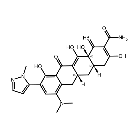 B=C1C(C(N)=O)=C(O)C[C@@H]2C[C@@H]3Cc4c(N(C)C)cc(-c5ccnn5C)c(O)c4C(=O)C3=C(O)[C@]12O